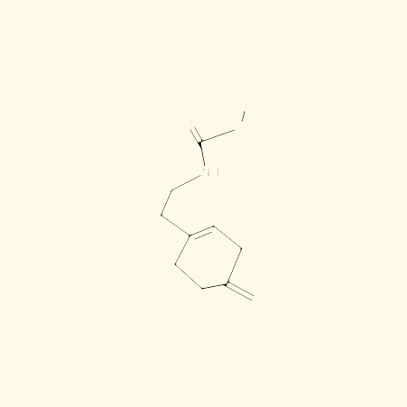 C[C@@H](CC1=CCC(=O)CC1)NC(=O)OC(C)(C)C